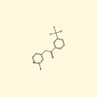 O=C(Cc1ccnc(F)c1)c1cccc(C(F)(F)F)c1